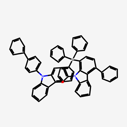 c1ccc(-c2ccc(-n3c4ccccc4c4cc(-n5c6ccccc6c6c(-c7ccccc7)ccc([Si](c7ccccc7)(c7ccccc7)c7ccccc7)c65)ccc43)cc2)cc1